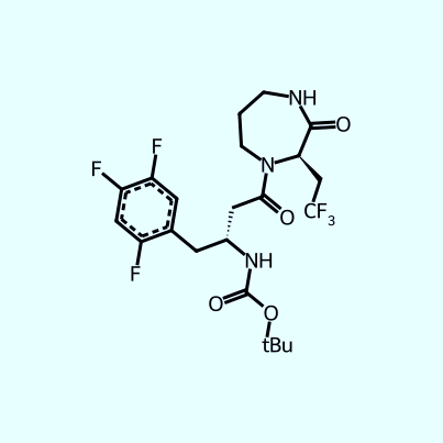 CC(C)(C)OC(=O)N[C@@H](CC(=O)N1CCCNC(=O)[C@H]1CC(F)(F)F)Cc1cc(F)c(F)cc1F